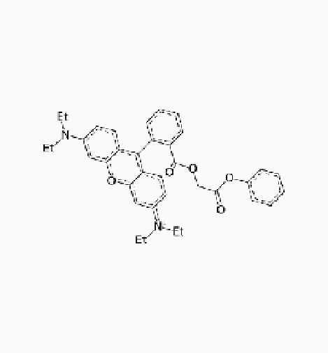 CCN(CC)c1ccc2c(-c3ccccc3C(=O)OCC(=O)Oc3ccccc3)c3ccc(=[N+](CC)CC)cc-3oc2c1